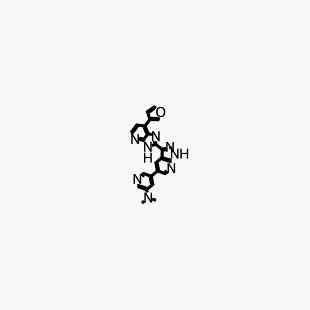 CN(C)c1cncc(-c2cnc3[nH]nc(-c4nc5c(-c6ccoc6)ccnc5[nH]4)c3c2)c1